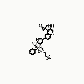 COc1ncc(-c2ccc3ncc4c(c3c2)C2(CN4)CC2=O)cc1N(COCC[Si](C)(C)C)S(=O)(=O)c1ccccc1